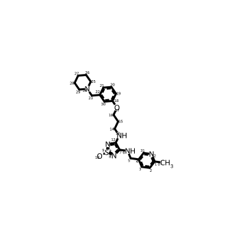 Cc1ccc(CNc2n[s+]([O-])nc2NCCCOc2cccc(CN3CCCCC3)c2)cn1